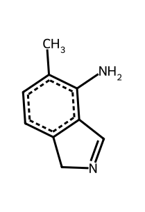 Cc1ccc2c(c1N)C=NC2